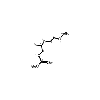 CCCCOCCOC(C)COC(=O)OC